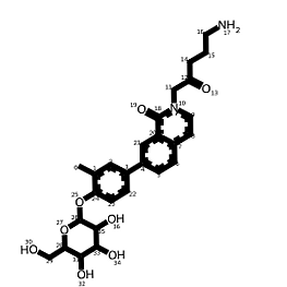 Cc1cc(-c2ccc3ccn(CC(=O)CCCN)c(=O)c3c2)ccc1OC1OC(CO)C(O)C(O)C1O